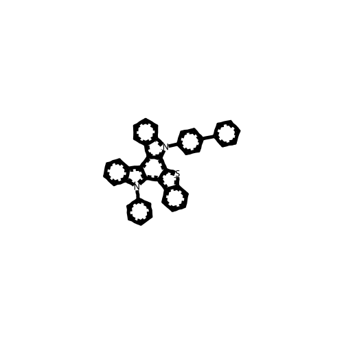 c1ccc(-c2ccc(-n3c4ccccc4c4c5c6ccccc6n(-c6ccccc6)c5c5c6ccccc6sc5c43)cc2)cc1